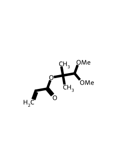 C=CC(=O)OC(C)(C)C(OC)OC